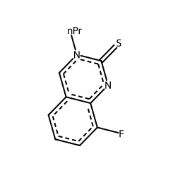 CCCn1cc2cccc(F)c2nc1=S